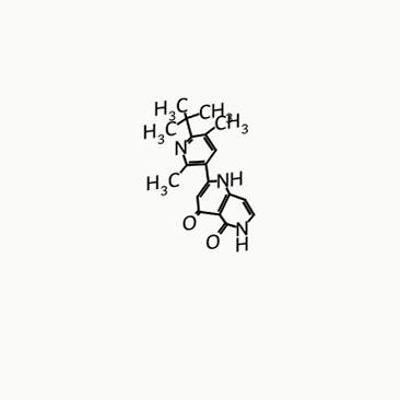 Cc1cc(-c2cc(=O)c3c(=O)[nH]ccc3[nH]2)c(C)nc1C(C)(C)C